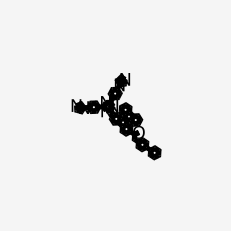 O=C(Cc1ccc(-c2ccccc2)cc1)c1ccc2c(c1)C1(c3ccccc3-c3ccccc31)c1cc(-c3nc(-c4ccc(-n5ccnc5)cc4)nc(-c4ccc(-n5ccnc5)cc4)n3)ccc1-2